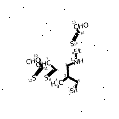 CCNCC(C)[CH2][Sn].O=CC=S.O=CC=S.O=CC=S